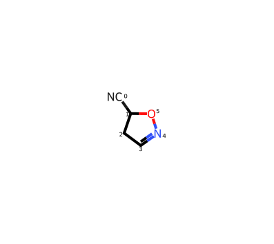 N#CC1CC=NO1